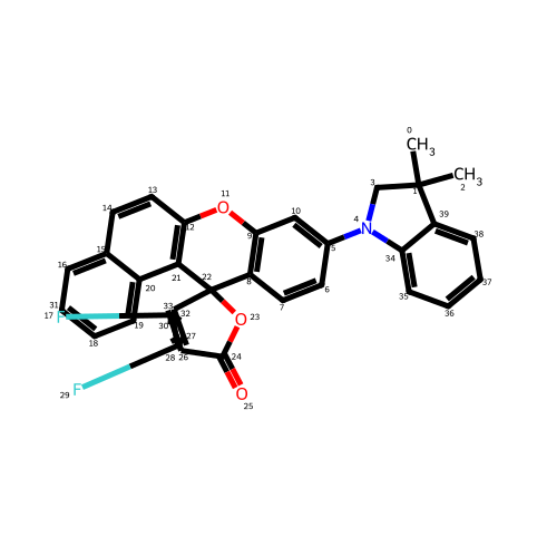 CC1(C)CN(c2ccc3c(c2)Oc2ccc4ccccc4c2C32OC(=O)c3cc(F)c(F)cc32)c2ccccc21